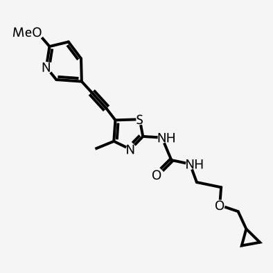 COc1ccc(C#Cc2sc(NC(=O)NCCOCC3CC3)nc2C)cn1